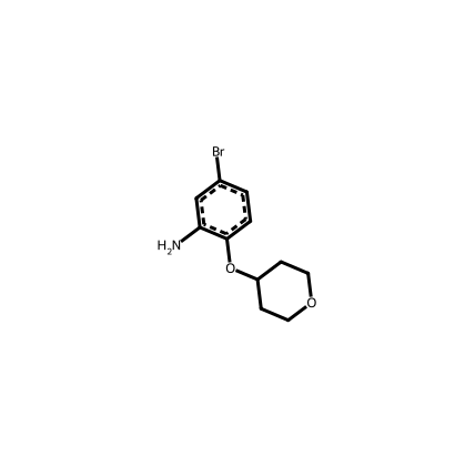 Nc1cc(Br)ccc1OC1CCOCC1